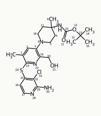 Cc1cc(N2CCC(C)(NC(=O)OC(C)(C)C)CC2)c(CO)nc1Sc1ccnc(N)c1Cl